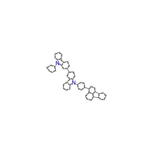 c1ccc(-n2c3ccccc3c3ccc(-c4ccc5c(c4)c4ccccc4n5-c4ccc(-c5ccc6c7c(cccc57)-c5ccccc5-6)cc4)cc32)cc1